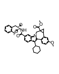 COC(=O)C12CC1c1cc(OC)ccc1-c1c(C3CCCCC3)c3ccc(C(=O)NS(=O)(=O)Cc4ccccc4F)cc3n1C2